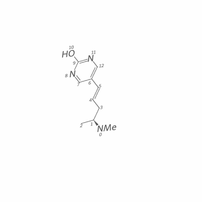 CN[C@@H](C)CC=Cc1cnc(O)nc1